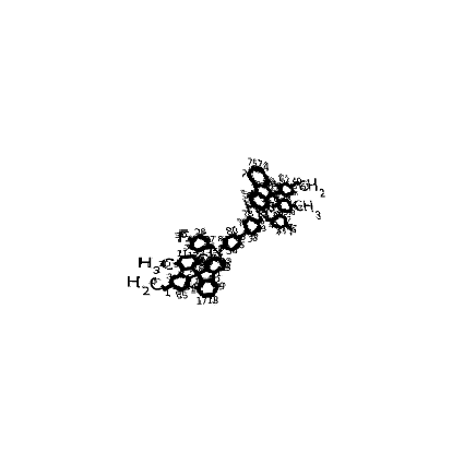 C=Cc1ccc(C2(c3cc(C)ccc3C)c3ccccc3-c3ccc(N(c4ccc(F)cc4)c4ccc(-c5ccc(N(c6ccc(F)cc6)c6ccc7c(c6)C(c6ccc(C=C)cc6)(c6cc(C)ccc6C)c6ccccc6-7)cc5)cc4)cc32)cc1